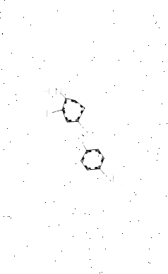 Nc1ccc(/N=N/c2ccc(N)c(F)c2)cc1